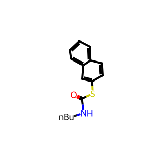 CCCCNC(=O)Sc1ccc2ccccc2c1